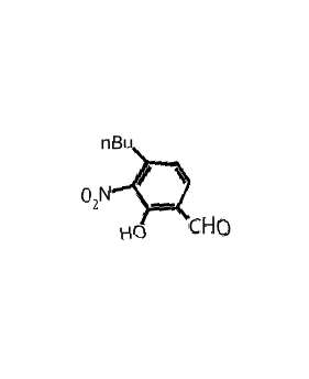 CCCCc1ccc(C=O)c(O)c1[N+](=O)[O-]